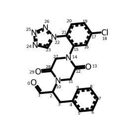 O=CC(Cc1ccccc1)N1CC(=O)N(c2cc(Cl)ccc2-n2cnnn2)CC1=O